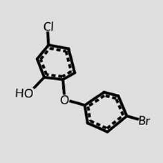 Oc1cc(Cl)ccc1Oc1ccc(Br)cc1